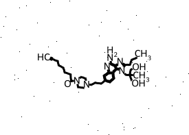 C#CCCCCCC(=O)N1CCN(CCCc2ccc3c(c2)nc(N)c2nc(CCCC)n(CC(C)(CO)CO)c23)CC1